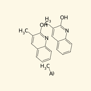 Cc1cc2ccccc2nc1O.Cc1cc2ccccc2nc1O.[CH3][Al]